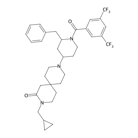 O=C1CC2(CCN1CC1CC1)CCN(C1CCN(C(=O)c3cc(C(F)(F)F)cc(C(F)(F)F)c3)C(Cc3ccccc3)C1)CC2